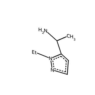 CCn1nccc1C(C)N